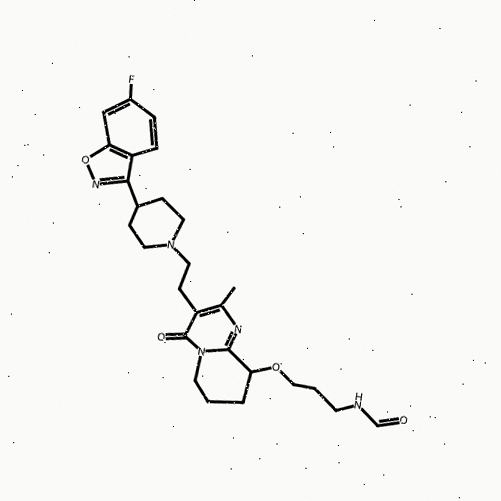 Cc1nc2n(c(=O)c1CCN1CCC(c3noc4cc(F)ccc34)CC1)CCCC2OCCCNC=O